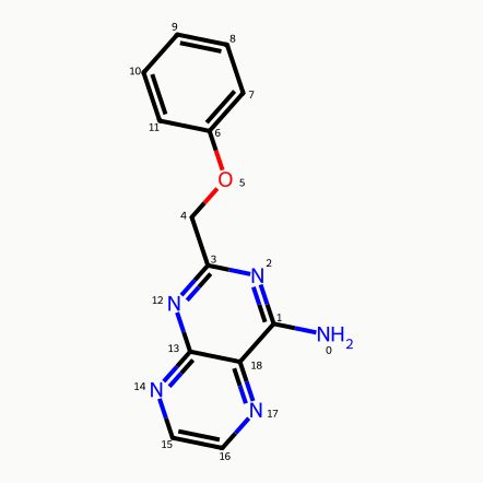 Nc1nc(COc2ccccc2)nc2nccnc12